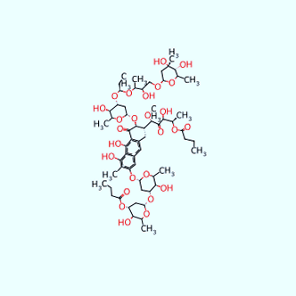 CCCC(=O)O[C@H](C)[C@H](O)C(=O)[C@@H](OC)[C@@H]1Cc2cc3cc(O[C@H]4C[C@@H](O[C@H]5C[C@@H](OC(=O)CCC)[C@H](O)C(C)O5)[C@H](O)C(C)O4)c(C)c(O)c3c(O)c2C(=O)[C@H]1O[C@H]1C[C@@H](O[C@@H](CC)OC(C)[C@H](O)CO[C@H]2C[C@](C)(O)[C@H](O)C(C)O2)[C@H](O)C(C)O1